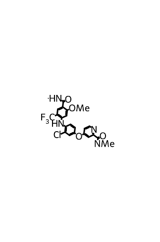 CNC(=O)c1cc(Oc2ccc(Nc3cc(OC)c(C([NH])=O)cc3C(F)(F)F)c(Cl)c2)ccn1